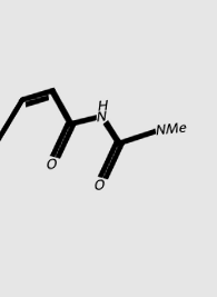 C/C=C\C(=O)NC(=O)NC